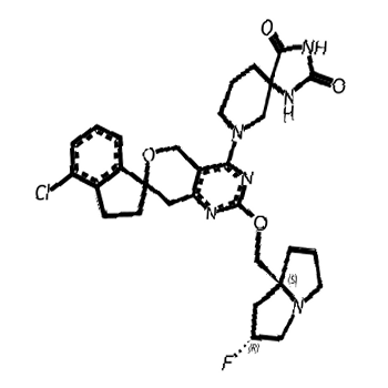 O=C1NC(=O)C2(CCCN(c3nc(OC[C@@]45CCCN4C[C@H](F)C5)nc4c3COC3(CCc5c(Cl)cccc53)C4)C2)N1